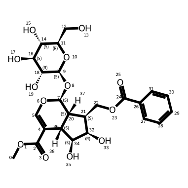 COC(=O)C1=CO[C@@H](O[C@@H]2O[C@H](CO)[C@@H](O)[C@H](O)[C@H]2O)[C@@H]2[C@@H](COC(=O)c3ccccc3)[C@@H](O)[C@@H](O)[C@H]12